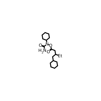 CCC(CC(=O)ON(C(N)=O)C1CCCCC1)CC1CCCCC1